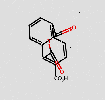 O=C(O)c1ccc2c3cccc2c1c(=O)oc3=O